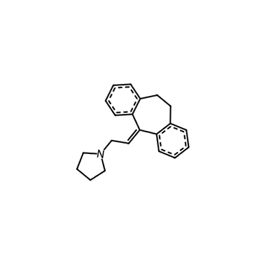 C(CN1CCCC1)=C1c2ccccc2CCc2ccccc21